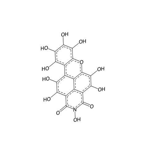 O=c1c2c(O)c(O)c3oc4c(O)c(O)c(O)c(O)c4c4c(O)c(O)c(c(=O)n1O)c2c34